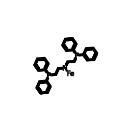 [Fe][N](CCP(c1ccccc1)c1ccccc1)CCP(c1ccccc1)c1ccccc1